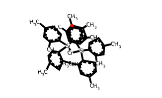 Cc1ccc([Si]([Cr][Si](c2ccc(C)cc2C)(c2ccc(C)cc2C)c2ccc(C)cc2C)(c2ccc(C)cc2C)c2ccc(C)cc2C)c(C)c1